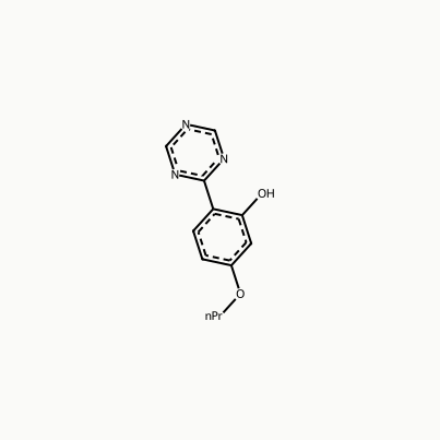 CCCOc1ccc(-c2ncncn2)c(O)c1